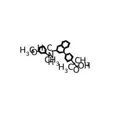 COc1cccc([C@@H](C)NC(C)c2cc(-c3ccc(C(C)(C)C(=O)O)cc3)c3ccccc3c2)c1